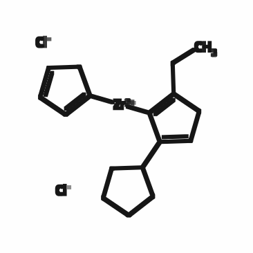 CCC1=[C]([Zr+2][C]2=CC=CC2)C(C2CCCC2)=CC1.[Cl-].[Cl-]